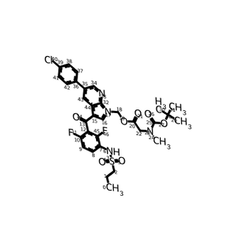 CCCS(=O)(=O)Nc1ccc(F)c(C(=O)c2cn(COC(=O)CN(C)C(=O)OC(C)(C)C)c3ncc(-c4ccc(Cl)cc4)cc23)c1F